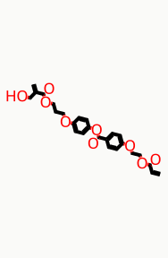 C=CC(=O)OCCOc1ccc(C(=O)Oc2ccc(OCCCOC(=O)C(=C)CO)cc2)cc1